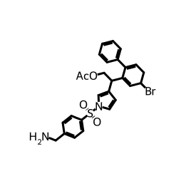 CC(=O)OCC(C1=CC(Br)CC=C1c1ccccc1)c1ccn(S(=O)(=O)c2ccc(CN)cc2)c1